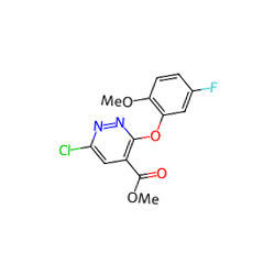 COC(=O)c1cc(Cl)nnc1Oc1cc(F)ccc1OC